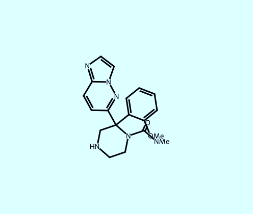 CNC(=O)N1CCNCC1(c1ccc2nccn2n1)c1ccccc1OC